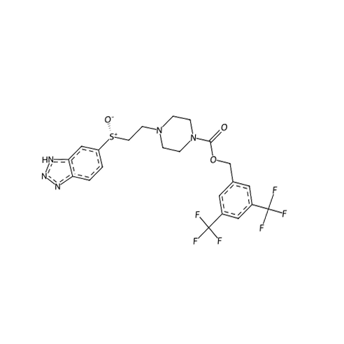 O=C(OCc1cc(C(F)(F)F)cc(C(F)(F)F)c1)N1CCN(CC[S@@+]([O-])c2ccc3nn[nH]c3c2)CC1